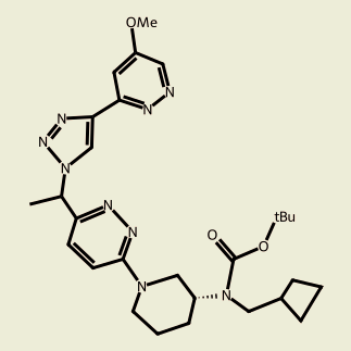 COc1cnnc(-c2cn(C(C)c3ccc(N4CCC[C@@H](N(CC5CCC5)C(=O)OC(C)(C)C)C4)nn3)nn2)c1